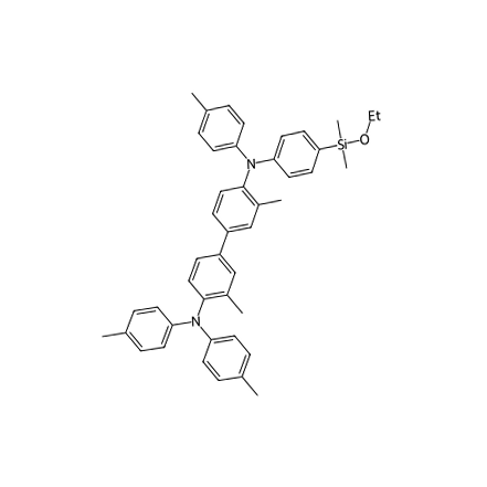 CCO[Si](C)(C)c1ccc(N(c2ccc(C)cc2)c2ccc(-c3ccc(N(c4ccc(C)cc4)c4ccc(C)cc4)c(C)c3)cc2C)cc1